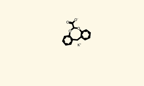 O=C([O-])C1Oc2ccccc2Cc2ccccc2O1.[K+]